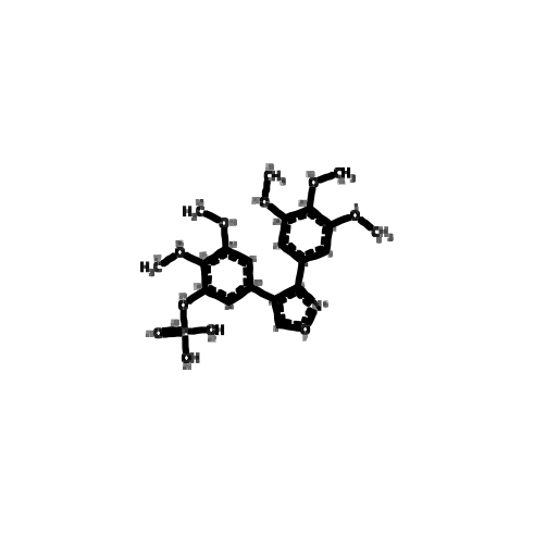 COc1cc(-c2nocc2-c2cc(OC)c(OC)c(OP(=O)(O)O)c2)cc(OC)c1OC